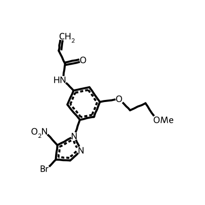 C=CC(=O)Nc1cc(OCCOC)cc(-n2ncc(Br)c2[N+](=O)[O-])c1